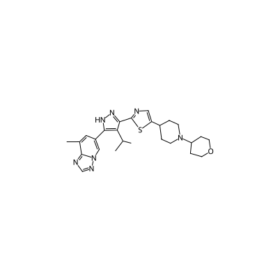 Cc1cc(-c2[nH]nc(-c3ncc(C4CCN(C5CCOCC5)CC4)s3)c2C(C)C)cn2ncnc12